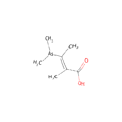 C/C(C(=O)O)=C(/C)[As](C)C